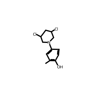 Cc1cc(N2CC(Cl)CC(Cl)C2)ccc1O